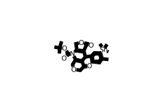 Cc1ccc(C2C3=C(COCC3=O)N(C(=O)OC(C)(C)C)C3=C2C(=O)OC3)c[c]1[Sn]([CH3])([CH3])[CH3]